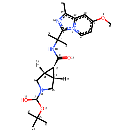 COc1ccn2c(C(C)(C)NC(=O)[C@H]3[C@@H]4CN(C(O)OC(C)(C)C)C[C@@H]43)nc(C)c2c1